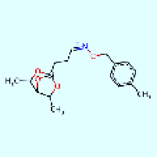 Cc1ccc(CO/N=C\CC[Si]23OC(C)C(O2)C(C)O3)cc1